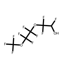 OC(F)C(F)(F)OC(F)(F)C(F)(F)OC(F)(F)F